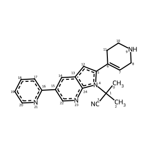 CC(C)(C#N)n1c(C2=CCNCC2)cc2cc(-c3ccccn3)cnc21